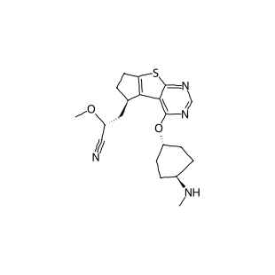 CN[C@H]1CC[C@H](Oc2ncnc3sc4c(c23)[C@@H](C[C@H](C#N)OC)CC4)CC1